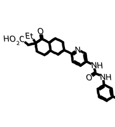 CCC1(CC(=O)O)CCC2CC(c3ccc(NC(=O)Nc4cccc(Cl)c4)cn3)CCC2C1=O